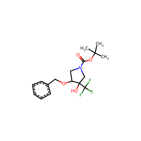 CC(C)(C)OC(=O)N1CC(OCc2ccccc2)C(O)(C(F)(F)F)C1